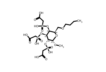 CCCCOC[C@H]1O[C@H](OC)[C@H](OP(=O)(O)CC(=O)O)[C@@H](OP(=O)(O)CC(=O)O)[C@H]1OP(=O)(O)CC(=O)O